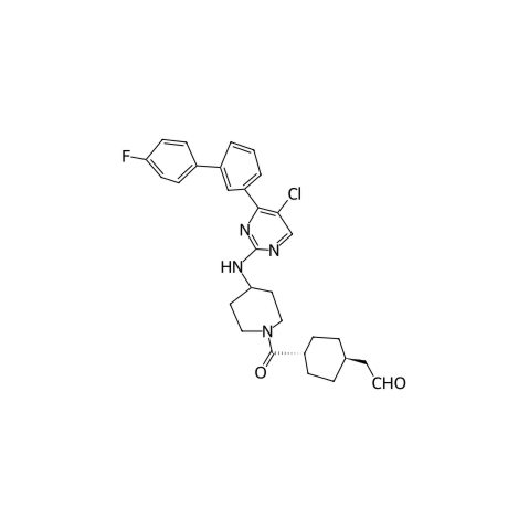 O=CC[C@H]1CC[C@H](C(=O)N2CCC(Nc3ncc(Cl)c(-c4cccc(-c5ccc(F)cc5)c4)n3)CC2)CC1